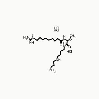 COC(NC(=O)CCCCCCCCNC(=N)N)C(=O)NCCCCNCCCN.Cl.Cl.Cl